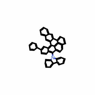 c1ccc(-c2ccc3c(-n4c5ccccc5c5ccccc54)c4ccccc4c(-c4cc5ccccc5cc4-c4ccccc4)c3c2)cc1